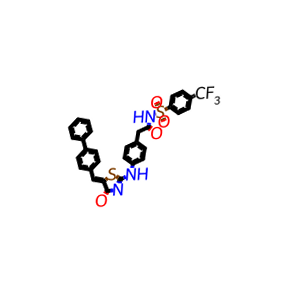 O=C(Cc1ccc(NC2=NC(=O)C(=Cc3ccc(-c4ccccc4)cc3)S2)cc1)NS(=O)(=O)c1ccc(C(F)(F)F)cc1